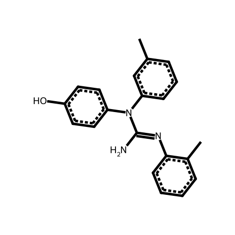 Cc1cccc(N(C(N)=Nc2ccccc2C)c2ccc(O)cc2)c1